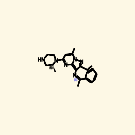 CCc1nn2c(C)cc(N3CCNC[C@H]3C)nc2c1/N=C(/C)c1ccccc1